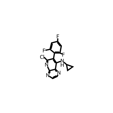 Fc1cc(F)c(-c2c(Cl)nc3nccnc3c2NC2CC2)c(F)c1